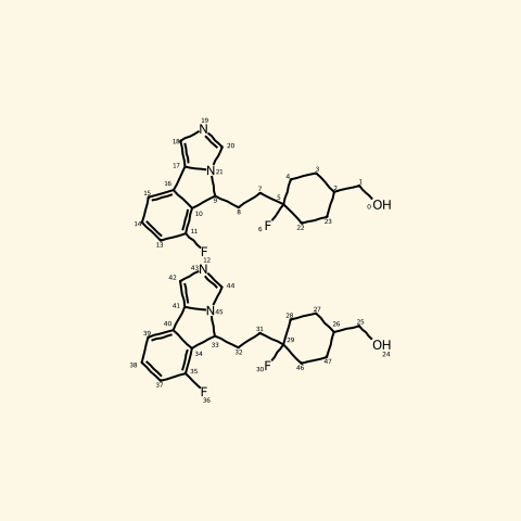 OCC1CCC(F)(CCC2c3c(F)cccc3-c3cncn32)CC1.OCC1CCC(F)(CCC2c3c(F)cccc3-c3cncn32)CC1